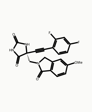 COc1ccc2c(c1)CN(C[C@@]1(C#Cc3ccc(F)cc3F)NC(=O)NC1=O)C2=O